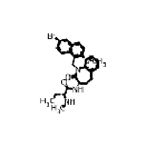 CC[C@H](NC)C(=O)N[C@H]1CCc2ccccc2N(Cc2c(OC)ccc3cc(Br)ccc23)C1=O